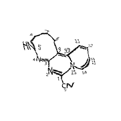 N#CC1=NC2=NNCCCC2=C2C=CC=CN12